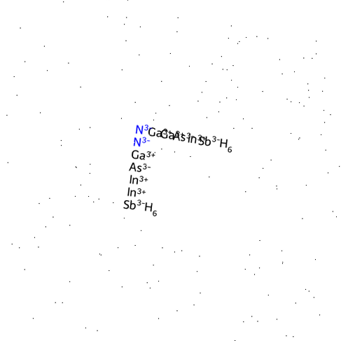 [As-3].[As-3].[Ga+3].[Ga+3].[Ga+3].[In+3].[In+3].[In+3].[N-3].[N-3].[SbH6-3].[SbH6-3]